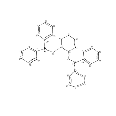 c1ccc(P(CC2CCCCC2CP(c2ccccc2)c2ccccc2)c2ccccc2)cc1